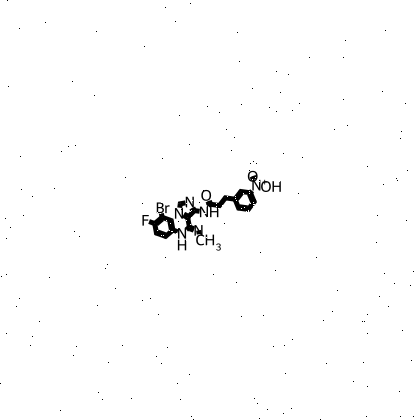 C/N=C(\Nc1ccc(F)c(Br)c1)C1=NCN=C1NC(=O)CCc1cccc([N+](=O)O)c1